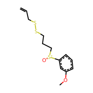 C=CCSSCCC[S+]([O-])c1cccc(OC)c1